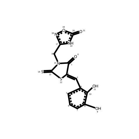 O=C1/C(=C/c2cccc(O)c2O)SC(=S)N1Cc1noc(=O)[nH]1